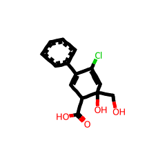 O=C(O)C1C=C(c2ccccc2)C(Cl)=CC1(O)CO